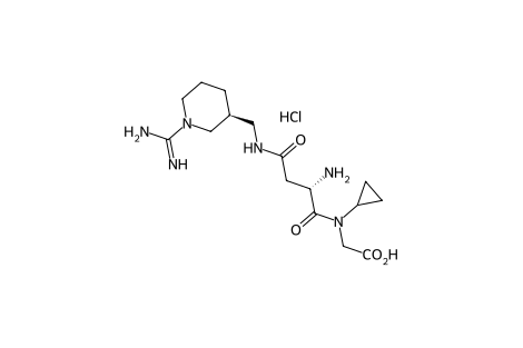 Cl.N=C(N)N1CCC[C@@H](CNC(=O)C[C@H](N)C(=O)N(CC(=O)O)C2CC2)C1